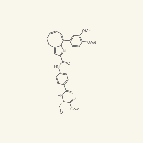 COC(=O)[C@H](CO)NC(=O)c1ccc(NC(=O)c2cc3n(n2)/C(c2ccc(OC)c(OC)c2)=C\C=C/CC3)cc1